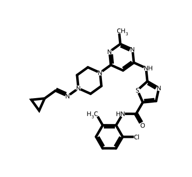 Cc1nc(Nc2ncc(C(=O)Nc3c(C)cccc3Cl)s2)cc(N2CCN(/N=C/C3CC3)CC2)n1